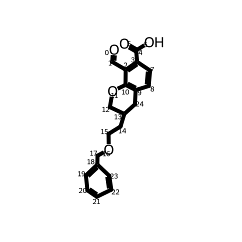 O=Cc1c(C(=O)O)ccc2c1OCC(CCOCc1ccccc1)C2